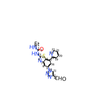 CCNC(=O)Nc1nc2cc(-n3cc(C=O)nn3)cc(-c3ccccn3)c2s1